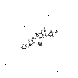 CN(C)Cc1c(C=Cc2ccc(C#N)cc2)ccc2c(CCC3CCN(Cc4ccccc4)CC3)noc12.Cl.Cl